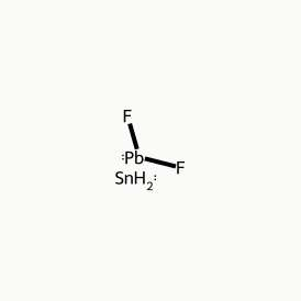 [F][Pb][F].[SnH2]